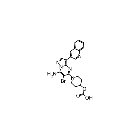 Nc1c(Br)c(N2CCC(OC(=O)O)CC2)nc2c(-c3cnc4ccccc4c3)cnn12